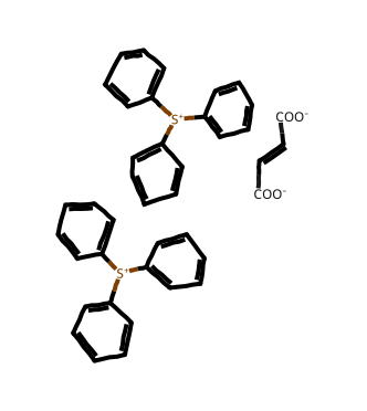 O=C([O-])C=CC(=O)[O-].c1ccc([S+](c2ccccc2)c2ccccc2)cc1.c1ccc([S+](c2ccccc2)c2ccccc2)cc1